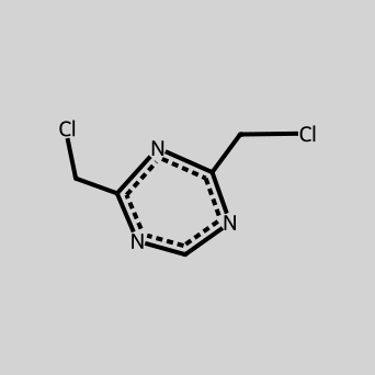 ClCc1ncnc(CCl)n1